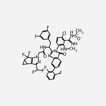 CNc1c(-n2c(C(Cc3cc(F)cc(F)c3)NC(=O)Cn3nc(C(F)F)c4c3C(F)(F)C3CC43)nc3cc(-c4c(F)cccc4F)ccc3c2=O)ccc(Cl)c1C(=N)N[S+](C)[O-]